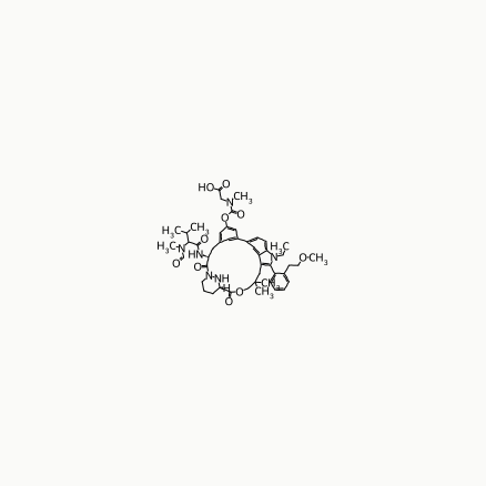 CCn1c(-c2ccccc2CCOC)c2c3cc(ccc31)-c1cc(cc(OC(=O)N(C)CC(=O)O)c1)C[C@H](NC(=O)C(C(C)C)N(C)C=O)C(=O)N1CCC[C@H](N1)C(=O)OCC(C)(C)C2